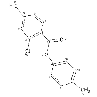 Cc1ccc(OC(=O)c2ccc(C)cc2Cl)cc1